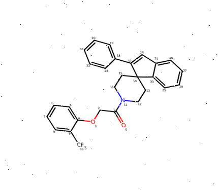 O=C(COc1ccccc1C(F)(F)F)N1CCC2(CC1)C(c1ccccc1)=Cc1ccccc12